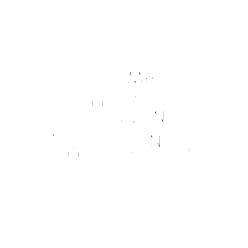 COc1cc2ncn(Cc3ccccc3)c(=O)c2cc1OC1CCC2(CC1)OCCO2